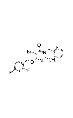 Cc1nc(OCc2ccc(F)cc2F)c(Br)c(=O)n1Cc1ccccn1